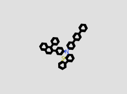 c1ccc(-c2ccc(-c3ccc(N(c4ccc(-c5ccc6ccccc6c5-c5ccccc5)cc4)c4cccc5c4sc4ccccc45)cc3)cc2)cc1